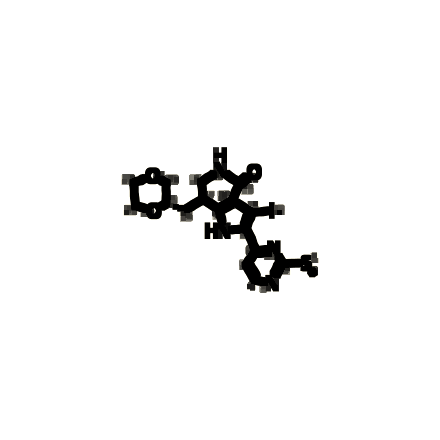 CSc1nccc(-c2[nH]c3c(c2I)C(=O)NCC3C[C@H]2COCCO2)n1